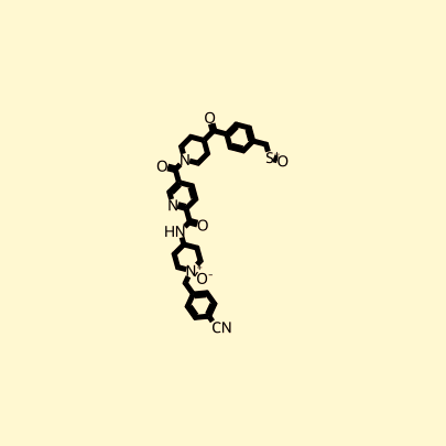 N#Cc1ccc(C[N+]2([O-])CCC(NC(=O)c3ccc(C(=O)N4CCC(C(=O)c5ccc(C[S+]=O)cc5)CC4)cn3)CC2)cc1